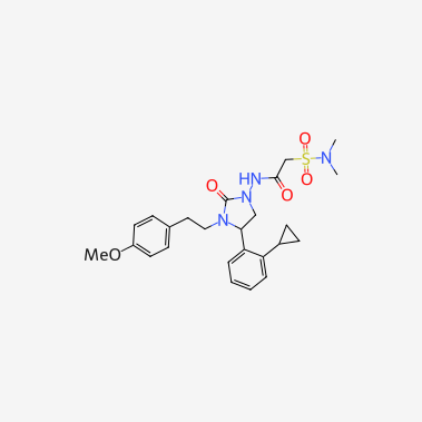 COc1ccc(CCN2C(=O)N(NC(=O)CS(=O)(=O)N(C)C)CC2c2ccccc2C2CC2)cc1